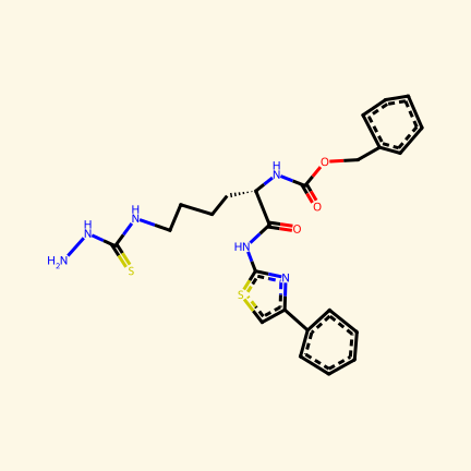 NNC(=S)NCCCC[C@H](NC(=O)OCc1ccccc1)C(=O)Nc1nc(-c2ccccc2)cs1